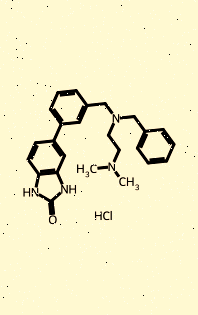 CN(C)CCN(Cc1ccccc1)Cc1cccc(-c2ccc3[nH]c(=O)[nH]c3c2)c1.Cl